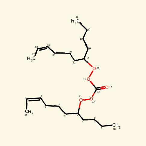 C/C=C\CCCC(CCCC)OOC(=O)OOC(CCCC)CCC/C=C\C